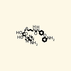 CN(CCCNC(=O)Nc1ccc(Oc2ccccc2N)cc1)C[C@H]1OC(n2cnc3c(N)ncnc32)[C@H](O)[C@@H]1O